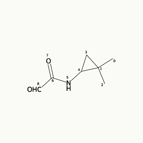 CC1(C)CC1NC(=O)C=O